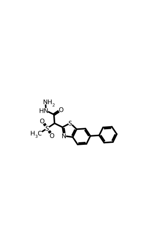 CS(=O)(=O)C(C(=O)NN)c1nc2ccc(-c3ccccc3)cc2s1